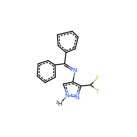 [2H]n1cc(N=C(c2ccccc2)c2ccccc2)c(C(F)F)n1